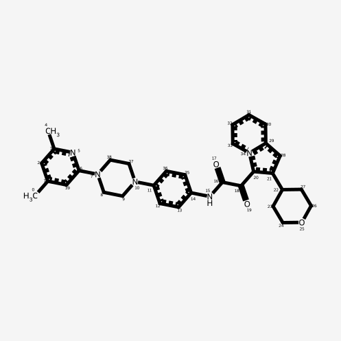 Cc1cc(C)nc(N2CCN(c3ccc(NC(=O)C(=O)c4c(C5CCOCC5)cc5ccccn45)cc3)CC2)c1